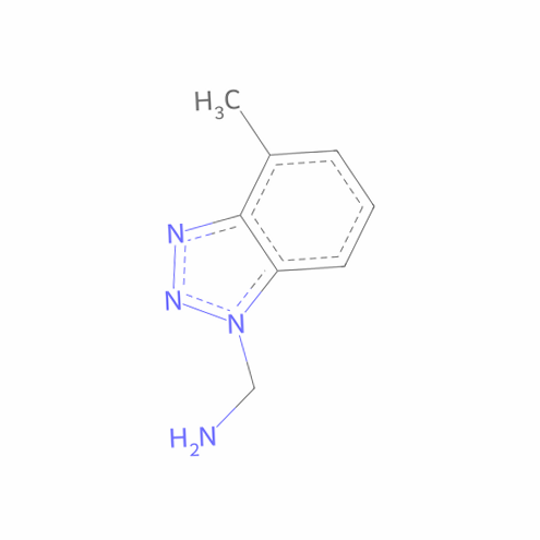 Cc1cccc2c1nnn2CN